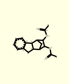 CC(=O)OC1C2CC(C1OC(C)=O)C1c3ccccc3CC21